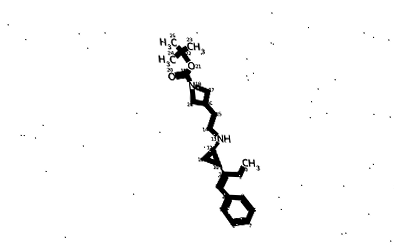 CC/C(=C\c1ccccc1)[C@@H]1C[C@H]1NCCC1CN(C(=O)OC(C)(C)C)C1